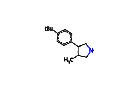 CC1C[N]CC1c1ccc(C(C)(C)C)cc1